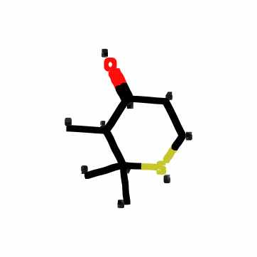 CC1C(=O)CCSC1(C)C